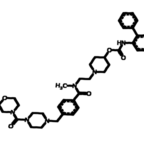 CN(CCN1CCC(OC(=O)Nc2ccccc2-c2ccccc2)CC1)C(=O)c1ccc(CN2CCN(C(=O)N3CCOCC3)CC2)cc1